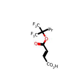 CC(C)C(OC(=O)C=CC(=O)O)(C(F)(F)F)C(F)(F)F